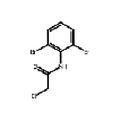 O=C(CCl)Nc1c(Br)cccc1Br